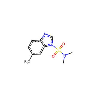 CN(C)S(=O)(=O)n1cnc2ccc(C(F)(F)F)cc21